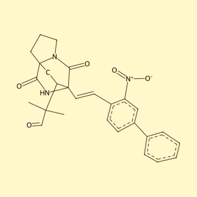 CC(C)(C=O)C1CC23CCCN2C(=O)C1(/C=C/c1ccc(-c2ccccc2)cc1[N+](=O)[O-])NC3=O